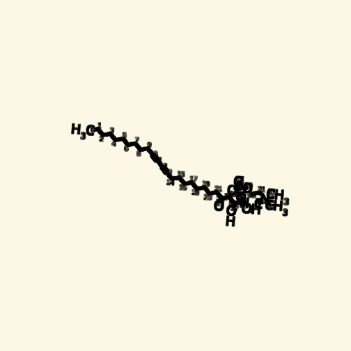 CCCCCCCCCCC#CC#CCCCCCCCCC(=O)[C@@H](OP(=O)([O-])OCC[N+](C)(C)C)[C@@H](O)CO